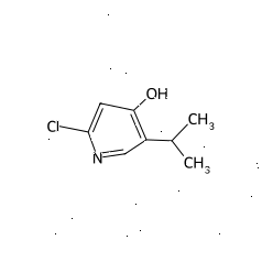 CC(C)c1cnc(Cl)cc1O